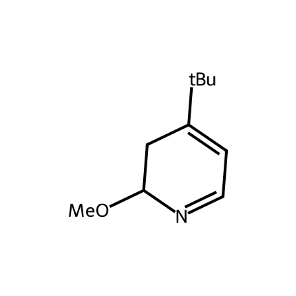 COC1CC(C(C)(C)C)=CC=N1